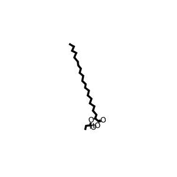 CCCCCCCCCCCCCCCCCCCCC(OC(=O)CC)C(=O)O